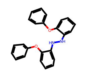 c1ccc(Oc2ccccc2NNc2ccccc2Oc2ccccc2)cc1